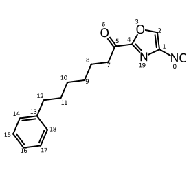 [C-]#[N+]c1coc(C(=O)CCCCCCc2ccccc2)n1